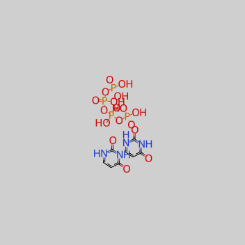 O=P(O)(O)OP(=O)(O)OP(=O)(O)OP(=O)(O)O.O=c1cc[nH]c(=O)[nH]1.O=c1cc[nH]c(=O)[nH]1